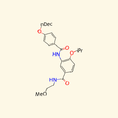 CCCCCCCCCCOc1ccc(C(=O)Nc2cc(C(=O)NCCOC)ccc2OC(C)C)cc1